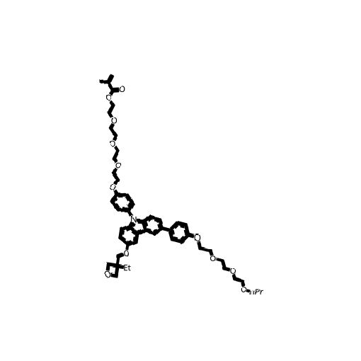 C=C(C)C(=O)OCCOCCOCCOCCOc1ccc(-n2c3ccc(OCC4(CC)COC4)cc3c3cc(-c4ccc(OCCOCCOCCOCCC)cc4)ccc32)cc1